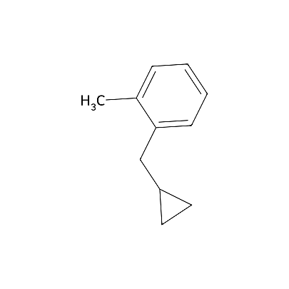 Cc1ccccc1CC1CC1